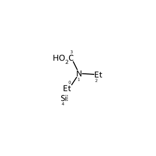 CCN(CC)C(=O)O.[Si]